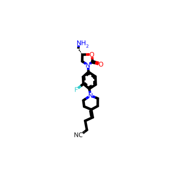 N#CCCC=C1CCN(c2ccc(N3C[C@H](CN)OC3=O)cc2F)CC1